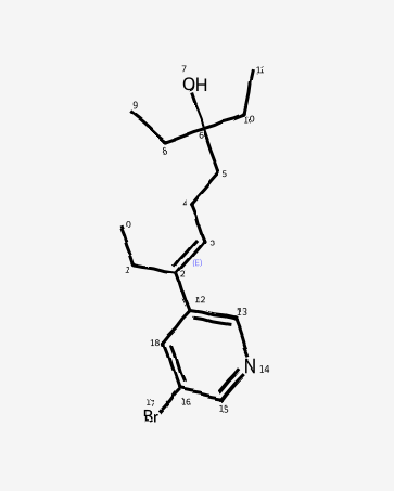 CC/C(=C\CCC(O)(CC)CC)c1cncc(Br)c1